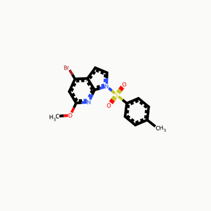 COc1cc(Br)c2ccn(S(=O)(=O)c3ccc(C)cc3)c2n1